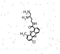 Cc1ccc(Cl)c2nc3cccc(C(=O)NCCC(N)CN)c3nc12